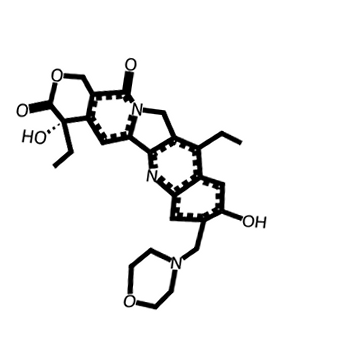 CCc1c2c(nc3cc(CN4CCOCC4)c(O)cc13)-c1cc3c(c(=O)n1C2)COC(=O)[C@]3(O)CC